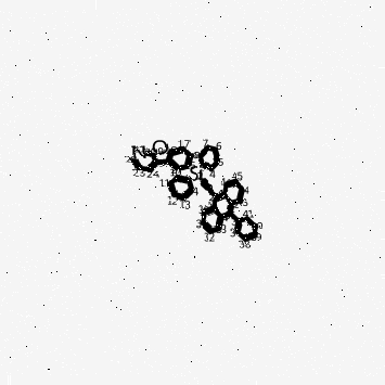 C(#C[Si](c1ccccc1)(c1ccccc1)c1ccc2oc3ncccc3c2c1)c1c2ccccc2c(-c2ccccc2)c2ccccc12